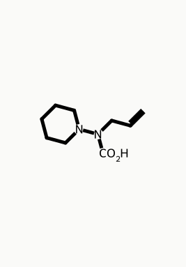 C=CCN(C(=O)O)N1CCCCC1